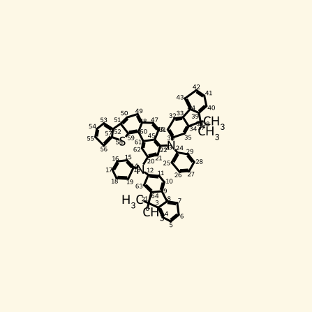 CC1(C)c2ccccc2-c2ccc(N(c3ccccc3)c3cc(N(c4ccccc4)c4ccc5c(c4)C(C)(C)c4ccccc4-5)c4ccc5ccc6c7ccccc7sc6c5c4c3)cc21